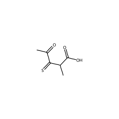 CC(=O)C(=S)C(C)C(=O)O